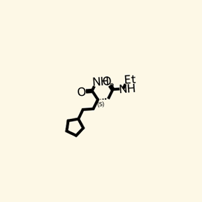 CCNC(=O)C[C@H](CCC1CCCC1)C(N)=O